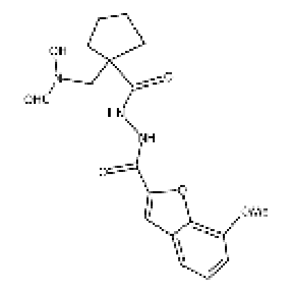 COc1cccc2cc(C(=O)NNC(=O)C3(CN(O)C=O)CCCC3)oc12